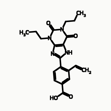 C=Cc1cc(C(=O)O)ccc1-c1nc2c([nH]1)c(=O)n(CCC)c(=O)n2CCC